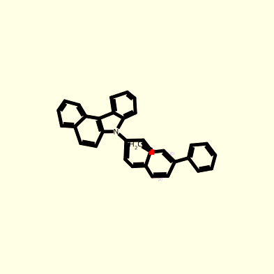 C=C/C=C(\C=C/c1ccc(-n2c3ccccc3c3c4ccccc4ccc32)cc1)c1ccccc1